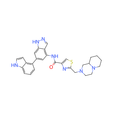 O=C(Nc1cc(-c2cccc3[nH]ccc23)cc2[nH]ncc12)c1csc(CN2CCN3CCCCC3C2)n1